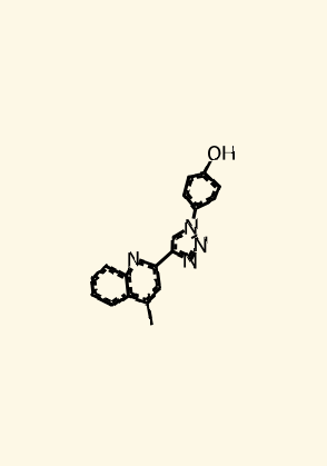 Cc1cc(-c2cn(-c3ccc(O)cc3)nn2)nc2ccccc12